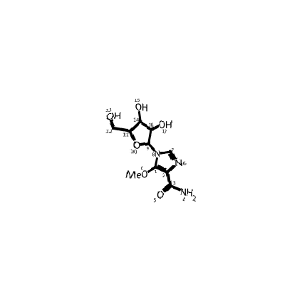 COc1c(C(N)=O)ncn1C1OC(CO)C(O)C1O